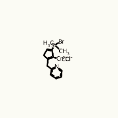 C[Si](C)(Br)C1=CCC(Cc2ccccn2)=[C]1[Cr+2].[Cl-].[Cl-]